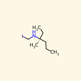 CCC[C@](C)(CC)NCI